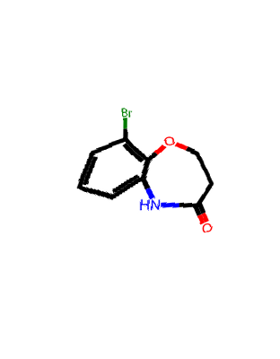 O=C1CCOc2c(Br)cccc2N1